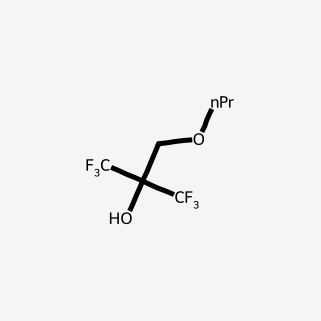 CCCOCC(O)(C(F)(F)F)C(F)(F)F